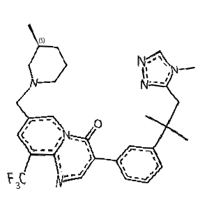 C[C@H]1CCCN(Cc2cc(C(F)(F)F)c3ncc(-c4cccc(C(C)(C)Cc5nncn5C)c4)c(=O)n3c2)C1